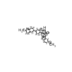 COc1ccc2c(c1)C(=O)N(C[C@@]1(c3ccc(-c4ccc5nc(C)ccc5c4)cc3)NC(=O)NC1=O)C2